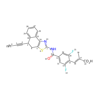 CCCC#CC1Cc2sc(NC(=O)c3cc(F)c(/C=C(\C)C(=O)O)c(F)c3)nc2-c2ccccc21